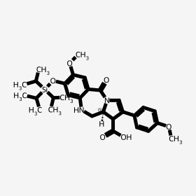 COc1ccc(C2=CN3C(=O)c4cc(OC)c(O[Si](C(C)C)(C(C)C)C(C)C)cc4NC[C@@H]3C2C(=O)O)cc1